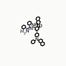 N/C(=N\C(=C(/N)c1ccccc1)c1ccccc1)c1cc(-c2ccc(N(c3ccccc3)c3ccc4ccccc4c3)cc2)cc2oc3cc4ccccc4cc3c12